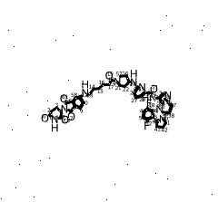 O=C1CCC(N2C(=O)c3ccc(NCCCCCC(=O)N4CCC(Nc5cccc(C(=O)Nc6cnn7ccc(N8CCC[C@@H]8c8cc(F)ccc8F)nc67)n5)CC4)cc3C2=O)C(=O)N1